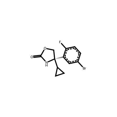 O=C1N[C@](c2cc(Br)ccc2F)(C2CC2)CO1